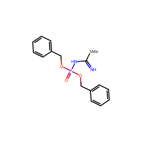 CSC(=N)NP(=O)(OCc1ccccc1)OCc1ccccc1